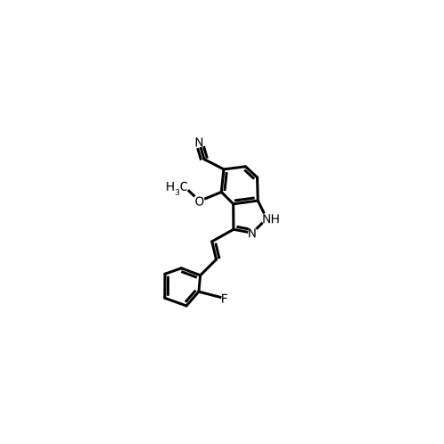 COc1c(C#N)ccc2[nH]nc(/C=C/c3ccccc3F)c12